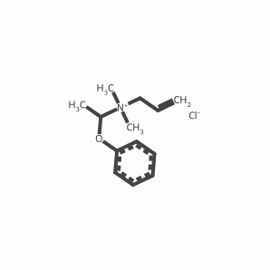 C=CC[N+](C)(C)C(C)Oc1ccccc1.[Cl-]